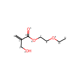 C=C(CO)C(=O)OCCOCC